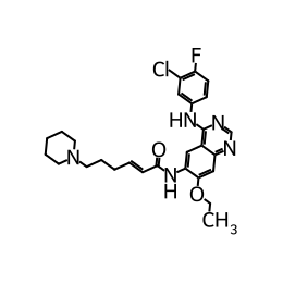 CCOc1cc2ncnc(Nc3ccc(F)c(Cl)c3)c2cc1NC(=O)C=CCCCN1CCCCC1